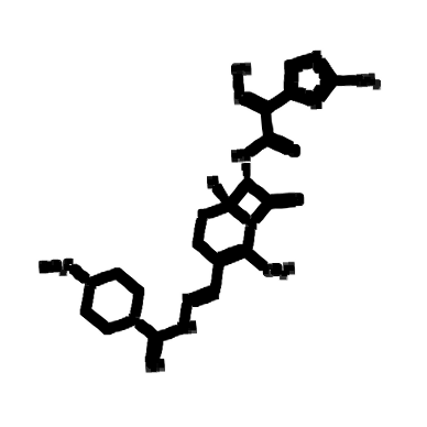 CCOC(=O)N1CCN(C(=N)NN=CC2=C(C(=O)O)N3C(=O)[C@@H](NC(=O)C(=NO)c4csc(N)n4)[C@H]3SC2)CC1